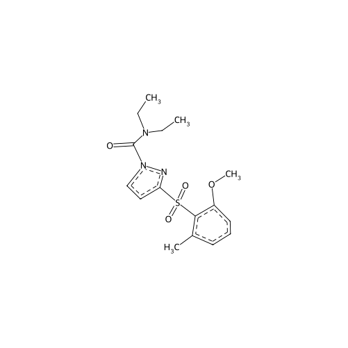 CCN(CC)C(=O)n1ccc(S(=O)(=O)c2c(C)cccc2OC)n1